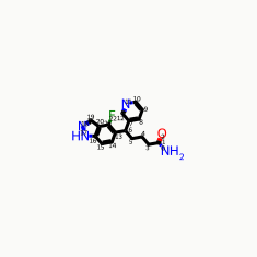 NC(=O)CCCC(c1cccnc1)c1ccc2[nH]ncc2c1F